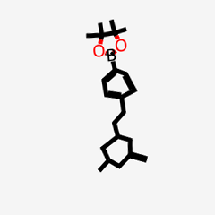 C=C1CC(C)CC(CCc2ccc(B3OC(C)(C)C(C)(C)O3)cc2)C1